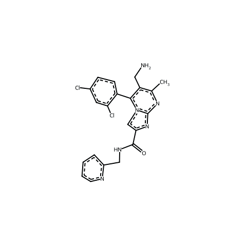 Cc1nc2nc(C(=O)NCc3ccccn3)cn2c(-c2ccc(Cl)cc2Cl)c1CN